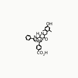 Cc1cc(O)cc(C)c1CC(N)C(=O)N(CCc1ccc(C(=O)O)cc1)C(C)c1nc(-c2ccccc2)c[nH]1